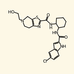 O=C(NC1CCCCC1NC(=O)c1nc2c(s1)CN(CCO)CC2)c1cc2cc(Cl)ccc2[nH]1